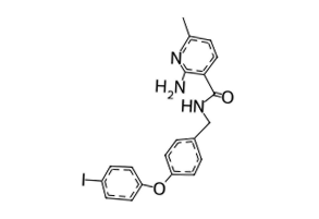 Cc1ccc(C(=O)NCc2ccc(Oc3ccc(I)cc3)cc2)c(N)n1